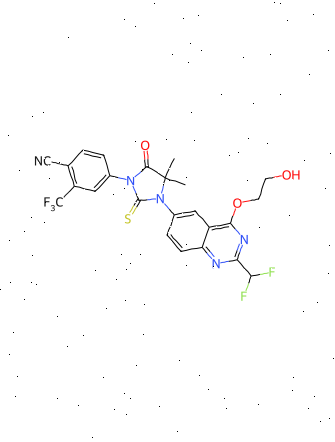 CC1(C)C(=O)N(c2ccc(C#N)c(C(F)(F)F)c2)C(=S)N1c1ccc2nc(C(F)F)nc(OCCO)c2c1